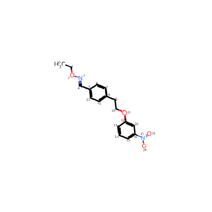 CCO/N=C/c1ccc(CCOc2cccc([N+](=O)[O-])c2)cc1